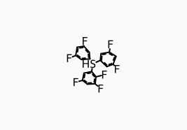 Fc1cc(F)cc([SH](c2cc(F)cc(F)c2)c2cc(F)cc(F)c2F)c1